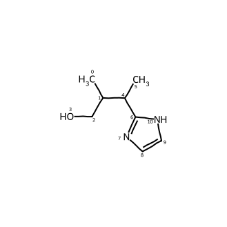 CC(CO)C(C)c1ncc[nH]1